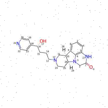 O=C1CN2c3c(cccc3[C@@H]3CN(CCC[C@@H](O)c4ccncc4)CC[C@@H]32)N1